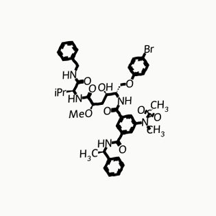 CO[C@H](C[C@H](O)[C@H](COc1ccc(Br)cc1)NC(=O)c1cc(C(=O)N[C@H](C)c2ccccc2)cc(N(C)S(C)(=O)=O)c1)C(=O)N[C@H](C(=O)NCc1ccccc1)C(C)C